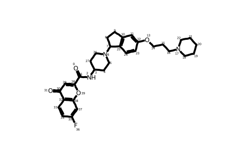 O=C(NC1CCN(C2CCc3cc(OCCCN4CCCCC4)ccc32)CC1)c1cc(=O)c2ccc(F)cc2o1